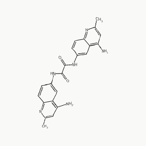 Cc1cc(N)c2cc(NC(=O)C(=O)Nc3ccc4nc(C)cc(N)c4c3)ccc2n1